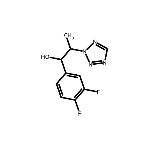 CC(C(O)c1ccc(F)c(F)c1)n1ncnn1